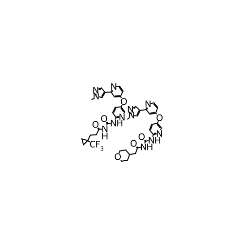 Cn1cc(-c2cc(Oc3ccc(NC(=O)NC(=O)CC4CCOCC4)nc3)ccn2)cn1.Cn1cc(-c2cc(Oc3ccc(NC(=O)NC(=O)CCC4(C(F)(F)F)CC4)nc3)ccn2)cn1